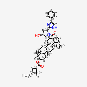 C=C(C)[C@@H]1CC[C@]2(C(=O)N3C[C@H](O)C[C@H]3c3nc(-c4ccccc4)c[nH]3)CC[C@]3(C)[C@H](CC[C@@H]4[C@@]5(C)CC[C@H](OC(=O)[C@H]6C[C@@H](C(=O)O)C6(C)C)C(C)(C)[C@@H]5CC[C@]43C)[C@@H]12